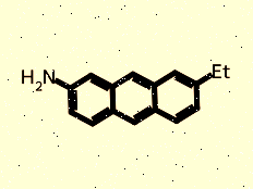 CCc1ccc2cc3ccc(N)cc3cc2c1